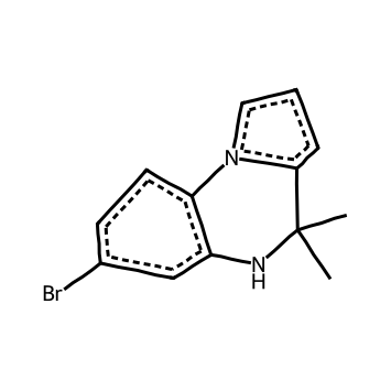 CC1(C)Nc2cc(Br)ccc2-n2cccc21